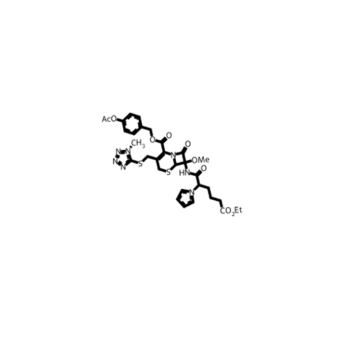 CCOC(=O)CCCC(C(=O)NC1(OC)C(=O)N2C(C(=O)OCc3ccc(OC(C)=O)cc3)=C(CSc3nnnn3C)CSC21)n1cccc1